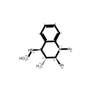 CC(=O)N1c2ccccc2[C@H](NC(=O)O)[C@@H](C)[C@@H]1C(C)C